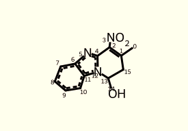 CC1=C([N+](=O)[O-])c2nc3ccccc3n2C(O)C1